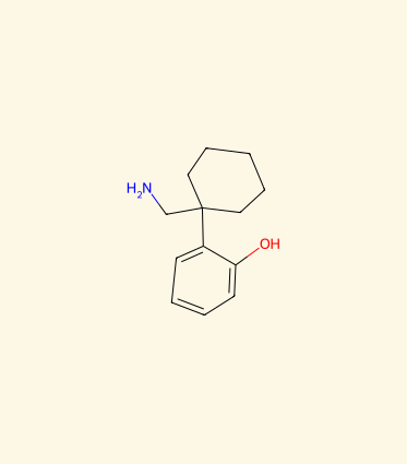 NCC1(c2ccccc2O)CCCCC1